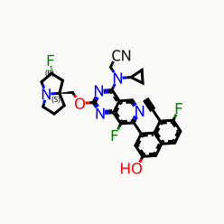 C#Cc1c(F)ccc2cc(O)cc(-c3ncc4c(N(CC#N)C5CC5)nc(OC[C@@]56CCCN5C[C@H](F)C6)nc4c3F)c12